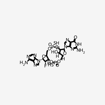 Nc1nc2c(ncn2[C@@H]2O[C@@H]3CO[P@@](=O)(S)O[C@@H]4C(CO[P@](=O)(S)O[C@@H]2[C@@H]3O)O[C@@H](n2cnc3c(N)ncnc32)[C@@H]4F)c(=O)[nH]1